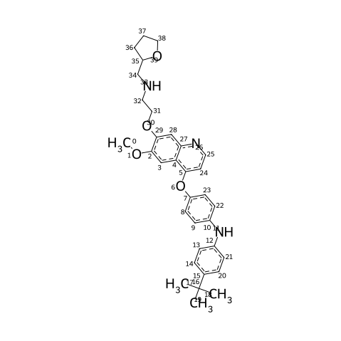 COc1cc2c(Oc3ccc(Nc4ccc(C(C)(C)C)cc4)cc3)ccnc2cc1OCCNCC1CCCO1